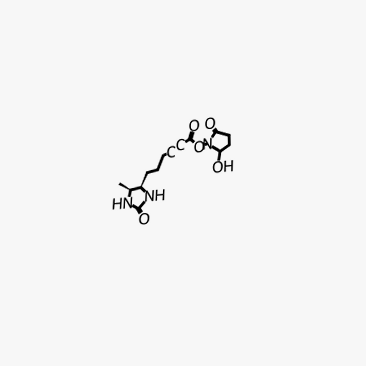 C[C@@H]1NC(=O)N[C@@H]1CCCCCC(=O)ON1C(=O)CCC1O